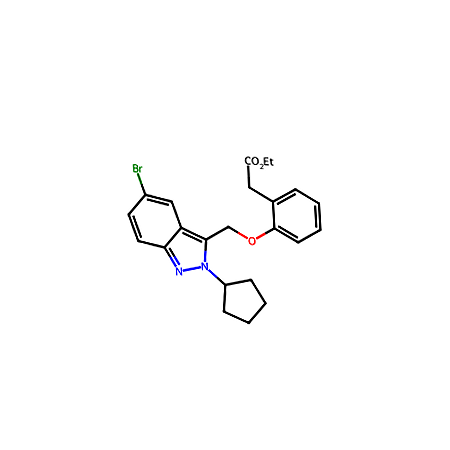 CCOC(=O)Cc1ccccc1OCc1c2cc(Br)ccc2nn1C1CCCC1